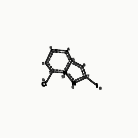 Clc1cccc2cc(I)nn12